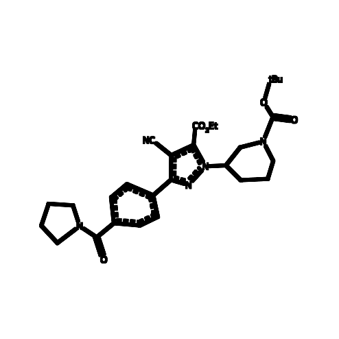 CCOC(=O)c1c(C#N)c(-c2ccc(C(=O)N3CCCC3)cc2)nn1C1CCCN(C(=O)OC(C)(C)C)C1